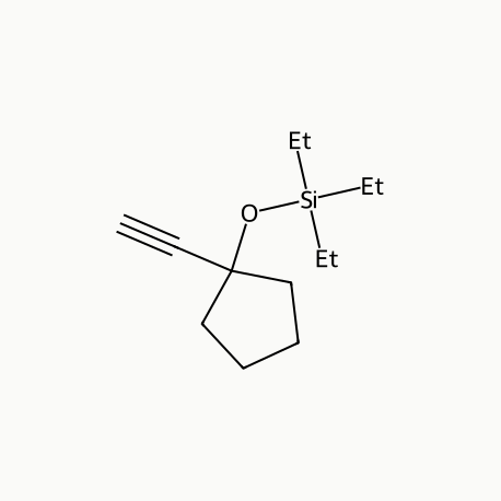 C#CC1(O[Si](CC)(CC)CC)CCCC1